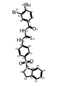 CC(C)(C)c1ccc(C(=O)NC(=S)Nc2ccc(S(=O)(=O)N3CCc4ccccc43)cc2)cc1Br